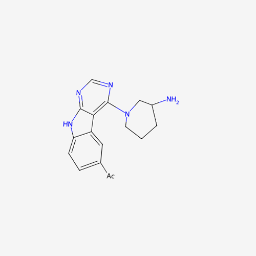 CC(=O)c1ccc2[nH]c3ncnc(N4CCCC(N)C4)c3c2c1